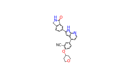 N#Cc1cc(-c2ccnc3[nH]c(-c4ccc5c(c4)C(=O)NC5)cc23)ccc1OC1CCOCC1